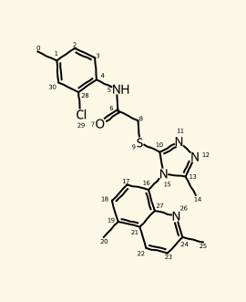 Cc1ccc(NC(=O)CSc2nnc(C)n2-c2ccc(C)c3ccc(C)nc23)c(Cl)c1